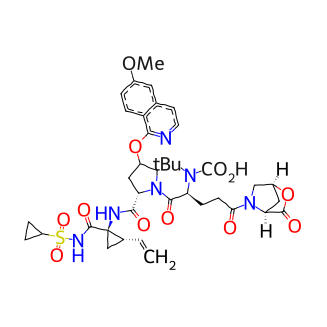 C=C[C@@H]1C[C@]1(NC(=O)[C@@H]1CC(Oc2nccc3cc(OC)ccc23)CN1C(=O)[C@H](CCC(=O)N1C[C@@H]2C[C@H]1C(=O)O2)N(C(=O)O)C(C)(C)C)C(=O)NS(=O)(=O)C1CC1